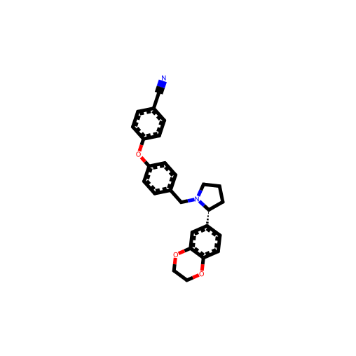 N#Cc1ccc(Oc2ccc(CN3CCC[C@@H]3c3ccc4c(c3)OCCO4)cc2)cc1